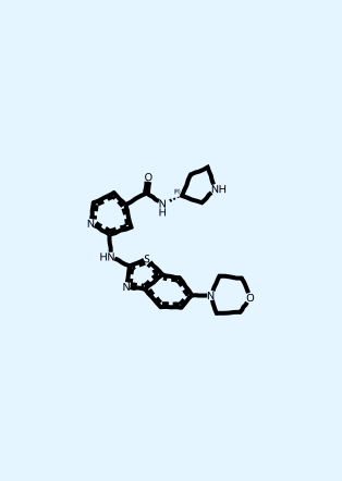 O=C(N[C@@H]1CCNC1)c1ccnc(Nc2nc3ccc(N4CCOCC4)cc3s2)c1